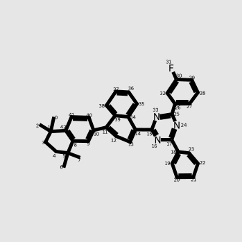 CC1(C)CCC(C)(C)c2cc(-c3ccc(-c4nc(-c5ccccc5)nc(-c5cccc(F)c5)n4)c4ccccc34)ccc21